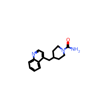 NC(=O)N1CCC(Cc2ccnc3ccccc23)CC1